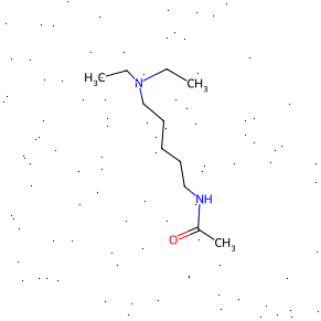 CCN(CC)CCCCCNC(C)=O